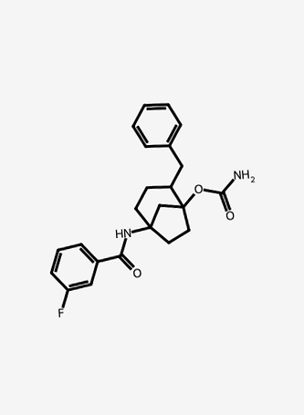 NC(=O)OC12CCC(NC(=O)c3cccc(F)c3)(CCC1Cc1ccccc1)C2